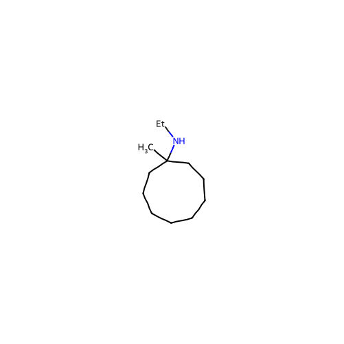 CCNC1(C)CCCCCCCC1